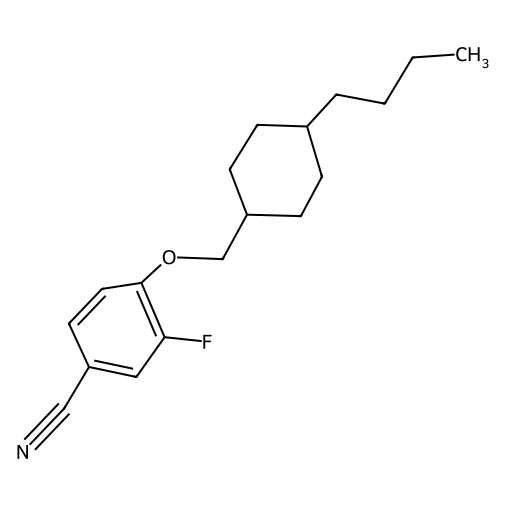 CCCCC1CCC(COc2ccc(C#N)cc2F)CC1